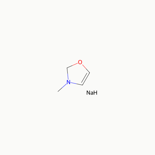 CN1C=COC1.[NaH]